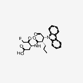 CCC[C@H](C(=O)N[C@@H](CC(=O)O)C(=O)CF)[C@H](C=O)n1c2ccccc2c2ccccc21